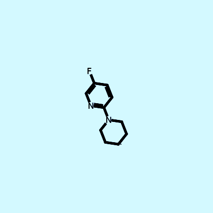 Fc1ccc(N2CC[CH]CC2)nc1